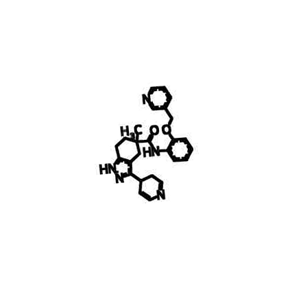 CC1(C(=O)Nc2ccccc2OCc2cccnc2)CCc2[nH]nc(C3C=CN=CC3)c2C1